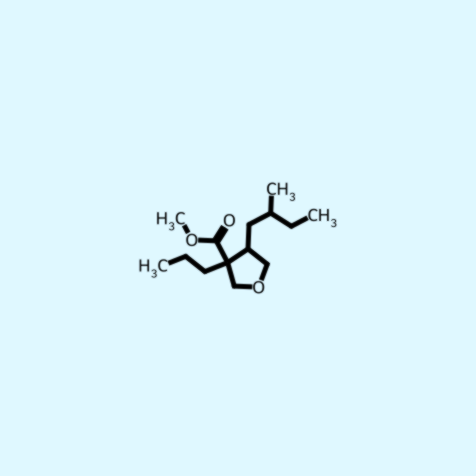 CCCC1(C(=O)OC)COCC1CC(C)CC